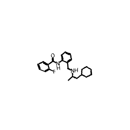 CC(CC1CCCCC1)NCc1ccccc1NC(=O)c1ccccc1F